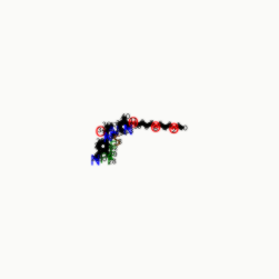 CCOCCCOCCCCOc1ncc(N2C(=S)N(c3ccc(C#N)c(C(F)(F)F)c3F)C(=O)C2(C)C)cc1C